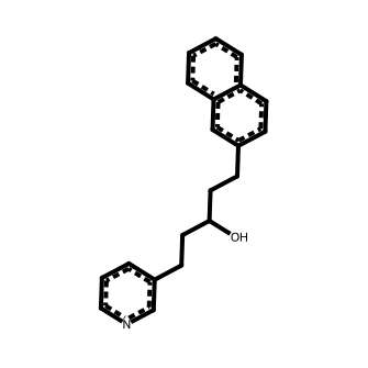 OC(CCc1cccnc1)CCc1ccc2ccccc2c1